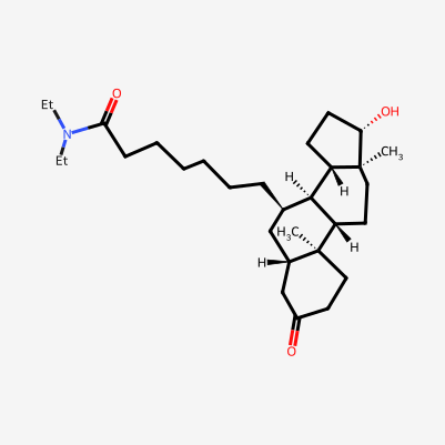 CCN(CC)C(=O)CCCCCC[C@@H]1C[C@H]2CC(=O)CC[C@]2(C)[C@H]2CC[C@]3(C)[C@@H](O)CC[C@H]3[C@H]12